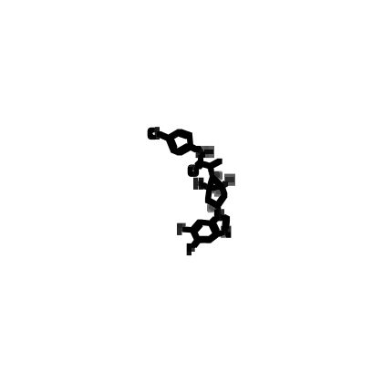 CC(C(=O)Nc1ccc(Cl)cc1)[C@H]1[C@@H]2C[C@@H](n3cnc4cc(F)c(F)cc43)C[C@@H]21